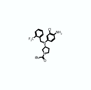 CCC(C)C(=O)N1CC[C@H](N(Cc2ccccc2C(F)(F)F)c2ccc(N)c(Cl)c2)C1